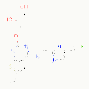 CCc1cc2c(N3CCn4cc(C(F)(F)F)nc4C3)nc(OCC(O)CO)nc2s1